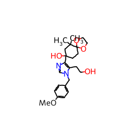 COc1ccc(Cn2cnc(C3(O)CCC4(OCCO4)C(C)(C)C3)c2CCO)cc1